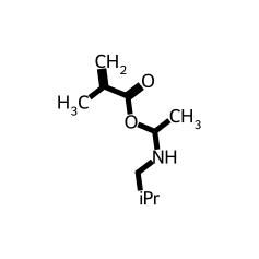 C=C(C)C(=O)OC(C)NCC(C)C